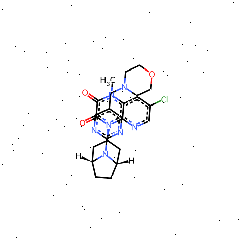 Cn1c(=O)c(=O)n([C@@H]2C[C@H]3CC[C@@H](C2)N3c2ncc(CN3CCOCC3)cn2)c2ncc(Cl)cc21